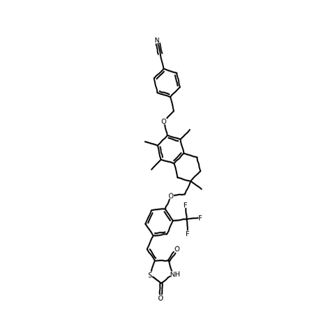 Cc1c(C)c(OCc2ccc(C#N)cc2)c(C)c2c1CC(C)(COc1ccc(/C=C3/SC(=O)NC3=O)cc1C(F)(F)F)CC2